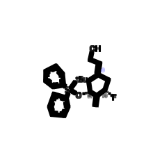 C=C1[C@@H](F)C/C(=C/CO)C[C@H]1O[Si](c1ccccc1)(c1ccccc1)C(C)(C)C